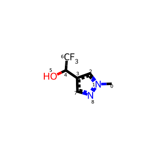 Cn1cc(C(O)C(F)(F)F)cn1